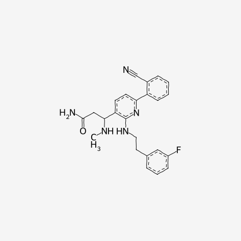 CNC(CC(N)=O)c1ccc(-c2ccccc2C#N)nc1NCCc1cccc(F)c1